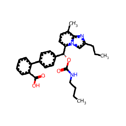 CCCCNC(=O)O[C@H](c1ccc(-c2ccccc2C(=O)O)cc1)c1ccc(C)c2nc(CCC)cn12